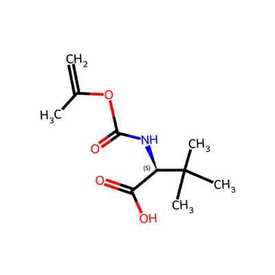 C=C(C)OC(=O)N[C@H](C(=O)O)C(C)(C)C